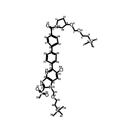 C[Si](C)(C)CCOCOC1CCN(C(=O)c2ccc(-c3ccc(-c4nc5nc(S(C)(=O)=O)n(COCC[Si](C)(C)C)c5cc4Cl)cc3)cc2)C1